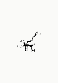 CC1(C)N[C@@]1(CCCCN)C(=O)O